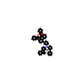 CC1(C)c2ccccc2-c2ccc(N(c3cccc(-c4cccc5c4-c4ccccc4C54c5ccc6ccccc6c5Oc5c4ccc4ccccc54)c3)c3cccc4c3sc3ccccc34)cc21